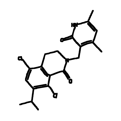 Cc1cc(C)c(CN2CCc3c(Cl)cc(C(C)C)c(Cl)c3C2=O)c(=O)[nH]1